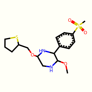 COC1NCC(OCC2CCCS2)NC1c1ccc(S(C)(=O)=O)cc1